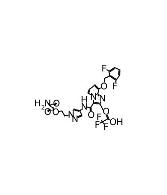 Cc1nc2c(OCc3c(F)cccc3F)cccn2c1C(=O)Nc1cnn(CCOS(N)(=O)=O)c1.O=C(O)C(F)(F)F